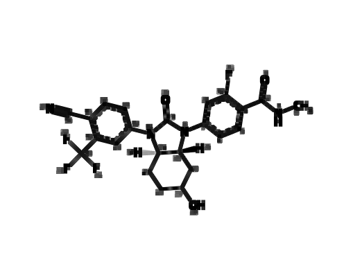 CNC(=O)c1ccc(N2C(=O)N(c3ccc(C#N)c(C(F)(F)F)c3)[C@@H]3CCC(O)C[C@H]32)cc1F